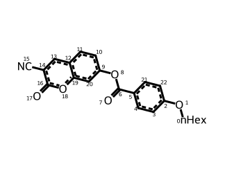 CCCCCCOc1ccc(C(=O)Oc2ccc3cc(C#N)c(=O)oc3c2)cc1